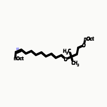 CCCCCCCC/C=C\CCCCCCCCOC(C)(C)CCOCCCCCCCC